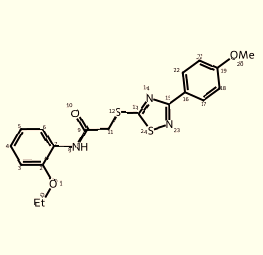 CCOc1ccccc1NC(=O)CSc1nc(-c2ccc(OC)cc2)ns1